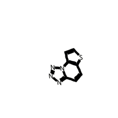 c1cc2c(ccc3nnnn32)s1